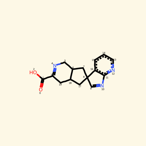 O=C(O)C1=NCC2CC3(C=Nc4ncccc43)CC2C1